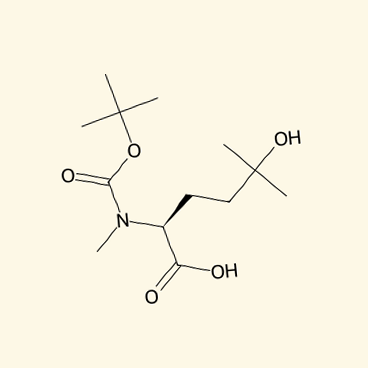 CN(C(=O)OC(C)(C)C)[C@@H](CCC(C)(C)O)C(=O)O